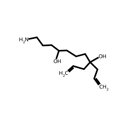 C=CCC(O)(CC=C)CCCC(O)CCCN